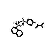 C=C(C)C(=O)Oc1ccc(S(=O)(=O)NS(=O)(=O)c2cccc3ccccc23)cc1